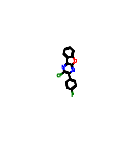 Fc1ccc(-c2nc3oc4ccccc4c3nc2Cl)cc1